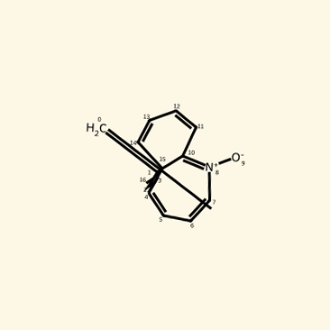 C=C1C=CC2=CC=C[N+]([O-])=C3C=CC=CC23C1